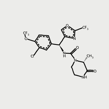 C[C@@H]1C(=O)NCCN1C(=O)N[C@@H](c1ccc(OC(F)(F)F)c(Cl)c1)c1coc(C(F)(F)F)n1